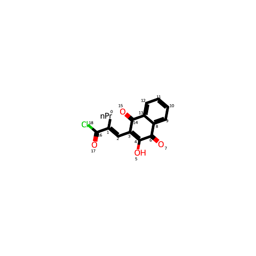 CCCC(=CC1=C(O)C(=O)c2ccccc2C1=O)C(=O)Cl